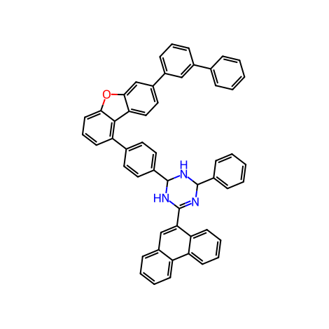 c1ccc(-c2cccc(-c3ccc4c(c3)oc3cccc(-c5ccc(C6NC(c7cc8ccccc8c8ccccc78)=NC(c7ccccc7)N6)cc5)c34)c2)cc1